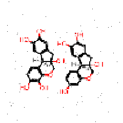 Oc1cc2c(cc1O)[C@H]1c3ccc(O)c(O)c3OC[C@@]1(O)C2.Oc1ccc2c(c1)OC[C@]1(O)Cc3cc(O)c(O)cc3[C@H]21